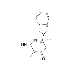 CN1C(=N)N[C@@](C)(C2C=C3C=CC=CN3C2)CC1=O